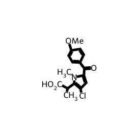 COc1ccc(C(=O)c2cc(Cl)c(C(C)C(=O)O)n2C)cc1